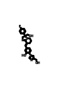 OCc1cn(-c2ccc(/C=C3\CCCN4C3=NCC4(CO)c3ccc(F)cc3)cc2O)cn1